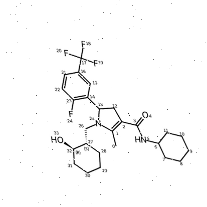 CC1=C(C(=O)NC2CCCCC2)CC(c2cc(C(F)(F)F)ccc2F)N1C[C@@H]1CCCC[C@H]1O